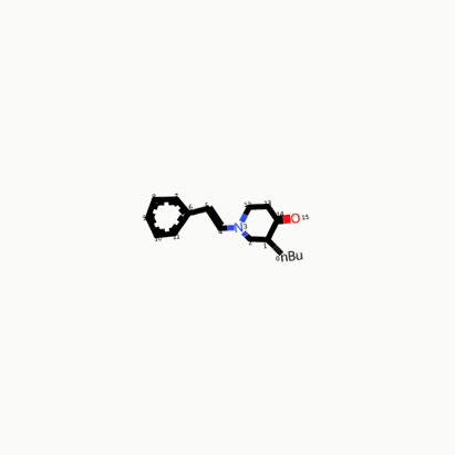 CCCCC1CN(C=Cc2ccccc2)CCC1=O